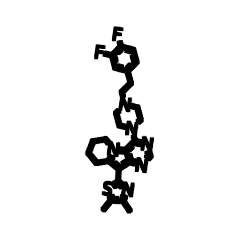 Cc1nc(-c2c3n(c4c(N5CCN(CCc6ccc(F)c(F)c6)CC5)ncnc24)CCCC3)sc1C